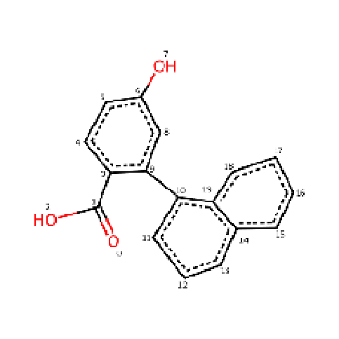 O=C(O)c1ccc(O)cc1-c1cccc2ccccc12